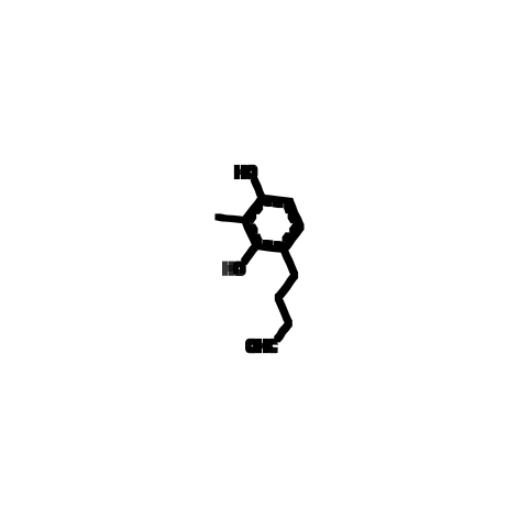 Cc1c(O)ccc(CCCC=O)c1O